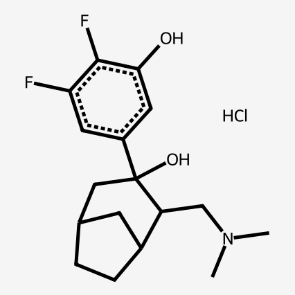 CN(C)CC1C2CCC(C2)CC1(O)c1cc(O)c(F)c(F)c1.Cl